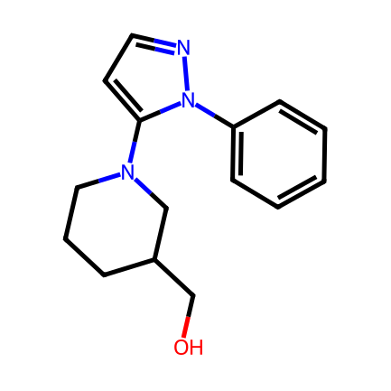 OCC1CCCN(c2ccnn2-c2ccccc2)C1